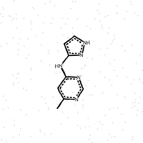 Cc1cc(Nc2cc[nH]n2)ncn1